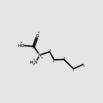 CCCCCN(N)C(=O)O